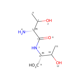 CC(O)[C@@H](N)C(=O)N[C@@H](C(=O)O)C(C)O